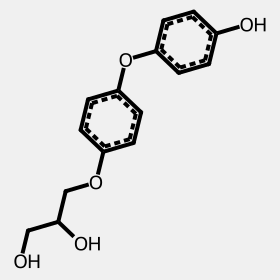 OCC(O)COc1ccc(Oc2ccc(O)cc2)cc1